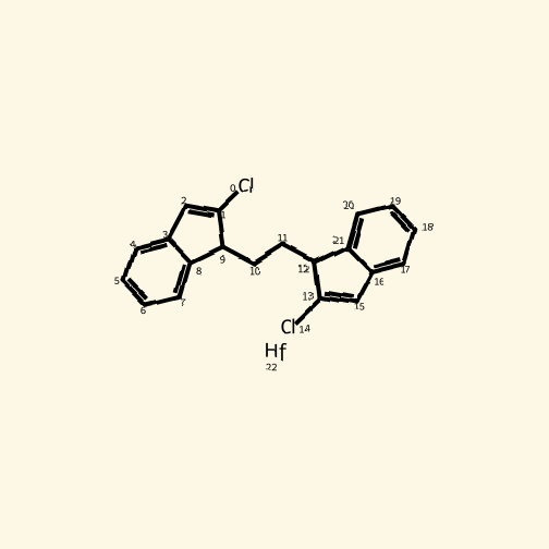 ClC1=Cc2ccccc2C1CCC1C(Cl)=Cc2ccccc21.[Hf]